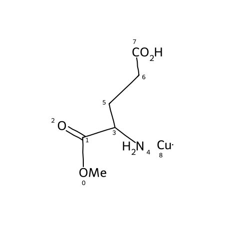 COC(=O)C(N)CCC(=O)O.[Cu]